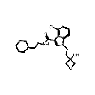 O=C(NCCC1CCCCC1)c1cn(CCC2(O)COC2)c2cccc(Cl)c12